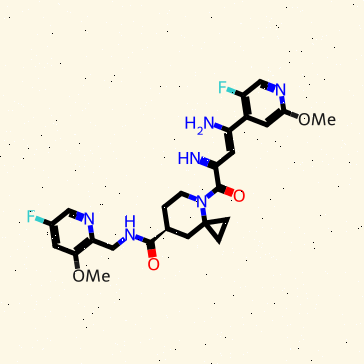 COc1cc(/C(N)=C/C(=N)C(=O)N2CC[C@H](C(=O)NCc3ncc(F)cc3OC)CC23CC3)c(F)cn1